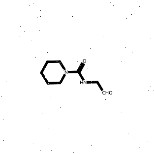 O=CCNC(=O)N1CCCCC1